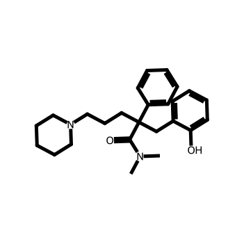 CN(C)C(=O)C(CCCN1CCCCC1)(Cc1ccccc1O)c1ccccc1